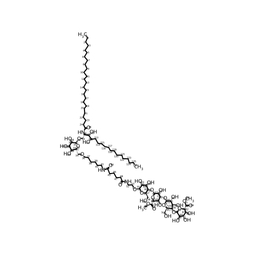 CCCCCCCCCCCCCCCCCCCCCCCCCC(=O)N[C@@H](CO[C@H]1O[C@H](COCCCCCCNC(=O)CCCCC(=O)NCCO[C@@H]2O[C@H](CO)[C@@H](O[C@@H]3O[C@@H](C(=O)OC)[C@H](O)[C@@H](O[C@@H]4O[C@H](CO)[C@@H](O[C@@H]5O[C@H](C(=O)OC)[C@@H](O)[C@H](O)[C@H]5O)[C@H](O)[C@H]4O)[C@H]3O)[C@H](O)[C@H]2O)[C@H](O)[C@H](O)[C@H]1O)[C@H](O)[C@H](O)CCCCCCCCCCCCCC